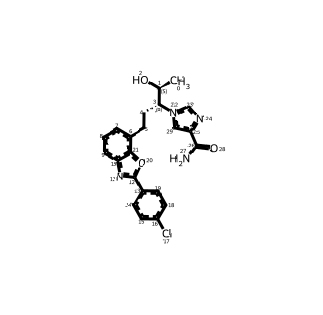 C[C@H](O)[C@@H](CCc1cccc2nc(-c3ccc(Cl)cc3)oc12)n1cnc(C(N)=O)c1